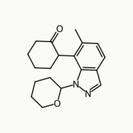 Cc1ccc2cnn(C3CCCCO3)c2c1C1CCCCC1=O